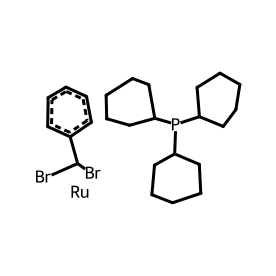 BrC(Br)c1ccccc1.C1CCC(P(C2CCCCC2)C2CCCCC2)CC1.[Ru]